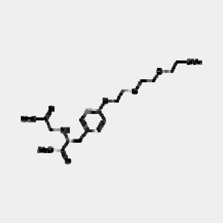 COCCOCCOCCOc1ccc(C[C@H](NCC(=O)OC)C(=O)OC)cc1